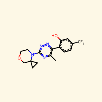 Cc1nc(N2CCOCC23CC3)nnc1-c1ccc(C(F)(F)F)cc1O